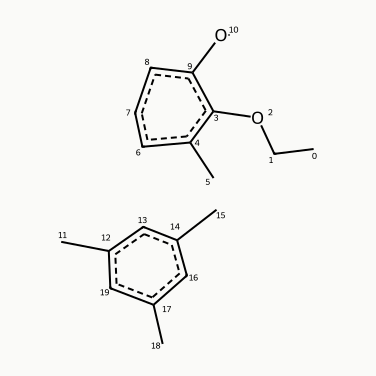 CCOc1c(C)cccc1[O].Cc1cc(C)cc(C)c1